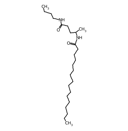 CCCCCCCCCCCCCCCC(=O)NC(C)CCC(=O)NCCCC